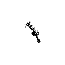 COc1cc2c(Nc3cc(CC(=O)Nc4cc(F)cc(F)c4)[nH]n3)ncnc2cc1OCCCN1CCCC1